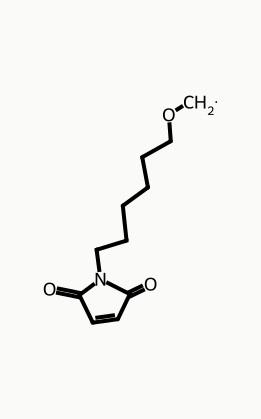 [CH2]OCCCCCCN1C(=O)C=CC1=O